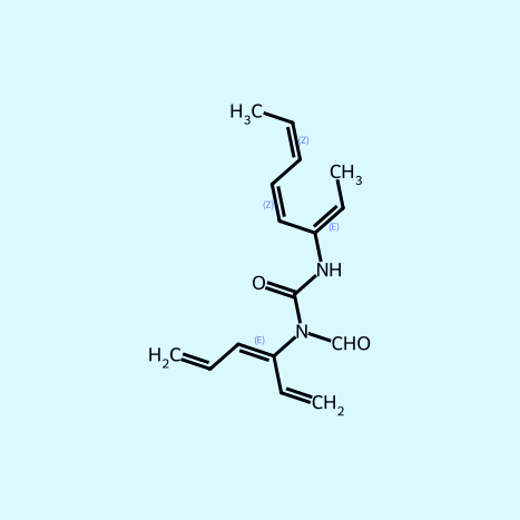 C=C/C=C(\C=C)N(C=O)C(=O)NC(/C=C\C=C/C)=C/C